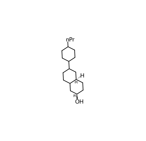 CCCC1CCC(C2CCC3C[C@H](O)CC[C@@H]3C2)CC1